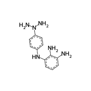 Nc1cccc(Nc2ccc(N(N)N)cc2)c1N